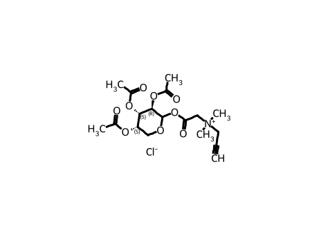 C#CC[N+](C)(C)CC(=O)OC1OC[C@H](OC(C)=O)[C@H](OC(C)=O)[C@H]1OC(C)=O.[Cl-]